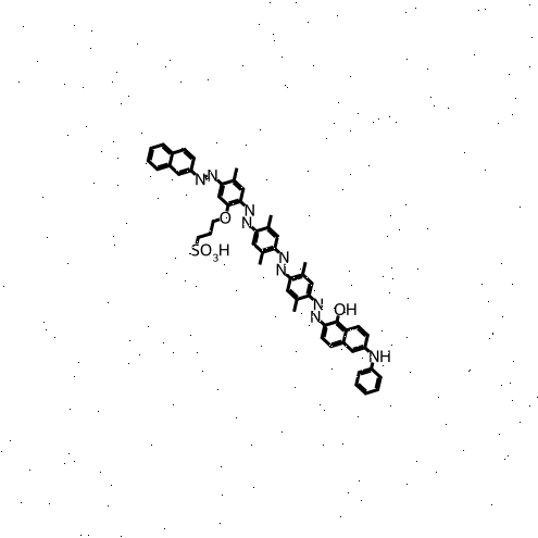 Cc1cc(N=Nc2cc(C)c(N=Nc3cc(C)c(N=Nc4ccc5cc(Nc6ccccc6)ccc5c4O)cc3C)cc2C)c(OCCCS(=O)(=O)O)cc1N=Nc1ccc2ccccc2c1